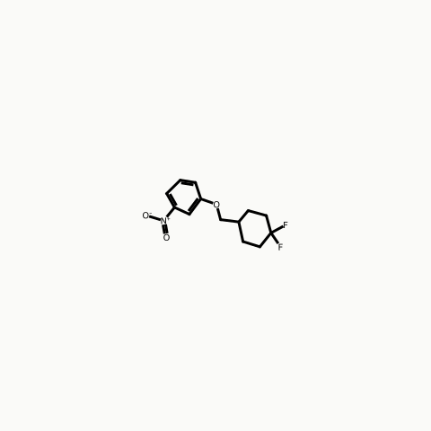 O=[N+]([O-])c1cccc(OCC2CCC(F)(F)CC2)c1